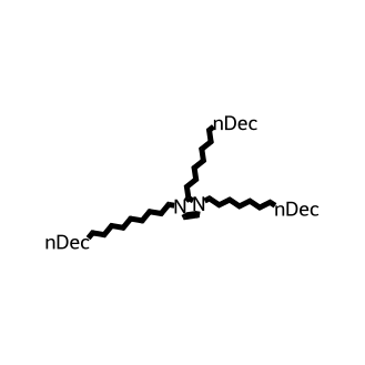 CCCCCCCCCCCCCCCCCCCN1C=CN(CCCCCCCCCCCCCCCCC)C1CCCCCCCCCCCCCCCCC